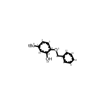 CC(C)(C)c1ccc(OCc2ccccc2)c(O)c1